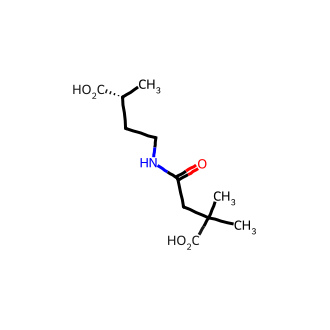 C[C@H](CCNC(=O)CC(C)(C)C(=O)O)C(=O)O